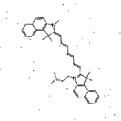 CN(C)CC[N+]1=C(/C=C/C=C/C=C/C=C2/N(C)c3ccc4ccccc4c3C2(C)C)C(C)(C)c2c1ccc1ccccc21